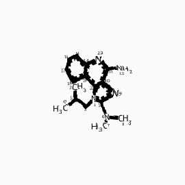 CC(C)Cn1c(N(C)C)nc2c(N)nc3ccccc3c21